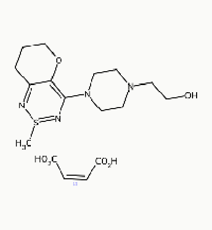 CS1=NC(N2CCN(CCO)CC2)=C2OCCCC2=N1.O=C(O)/C=C\C(=O)O